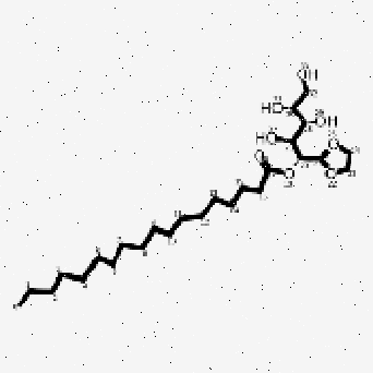 CCCCCCCCCCCCCCCCCC(=O)O[C@@H](C1OCCO1)[C@@H](O)[C@@H](O)[C@H](O)CO